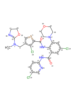 CN(Cc1csc(C(=O)Nc2c(C(=O)Nc3ccc(Cl)cn3)cc(Cl)cc2N2CCOCC2)c1Cl)C1=NCCO1